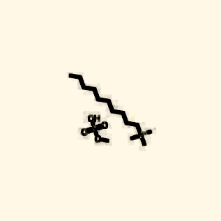 CCCCCCCCCC[N+](C)(C)C.COS(=O)(=O)O